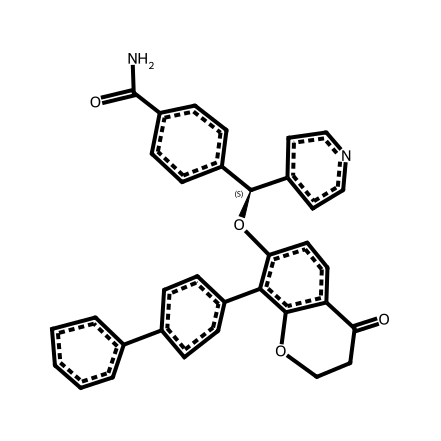 NC(=O)c1ccc([C@H](Oc2ccc3c(c2-c2ccc(-c4ccccc4)cc2)OCCC3=O)c2ccncc2)cc1